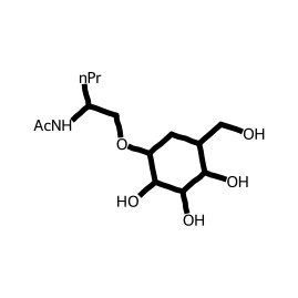 CCCC(COC1CC(CO)C(O)C(O)C1O)NC(C)=O